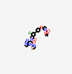 CC(C)(C)OC(=O)N1CC[C@H](Oc2ccc(-c3cc(F)c4c(c3)C(=O)N(C(C(=O)Nc3nccs3)c3ncn5c3CCC5)C4)cc2)C1